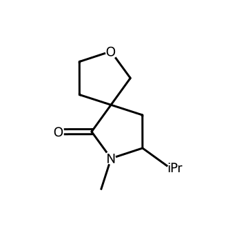 CC(C)C1CC2(CCOC2)C(=O)N1C